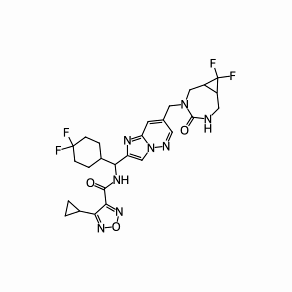 O=C(NC(c1cn2ncc(CN3CC4C(CNC3=O)C4(F)F)cc2n1)C1CCC(F)(F)CC1)c1nonc1C1CC1